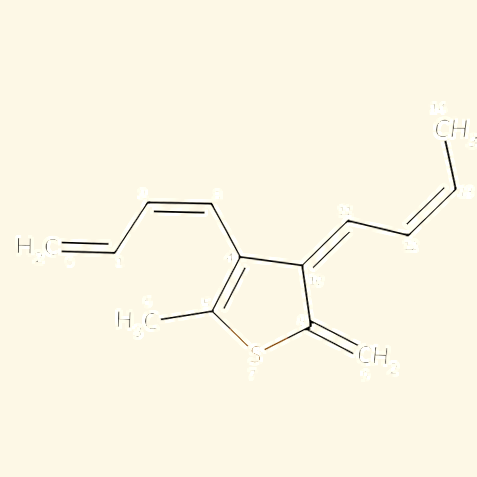 C=C/C=C\c1c(C)sc(=C)/c1=C\C=C/C